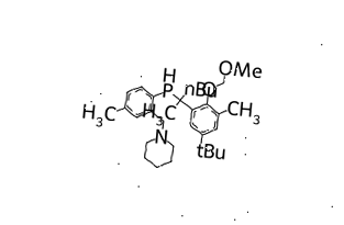 CCCCC(C)(Pc1ccc(C)cc1CN1CCCCC1)c1cc(C(C)(C)C)cc(C)c1OCOC